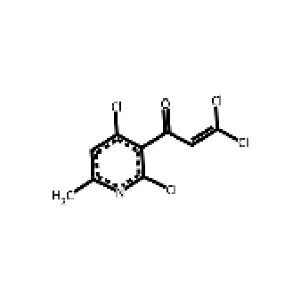 Cc1cc(Cl)c(C(=O)C=C(Cl)Cl)c(Cl)n1